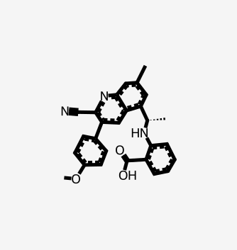 COc1ccc(-c2cc3c([C@H](C)Nc4ccccc4C(=O)O)cc(C)cc3nc2C#N)cc1